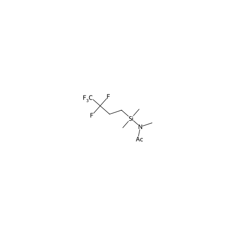 CC(=O)N(C)[Si](C)(C)CCC(F)(F)C(F)(F)F